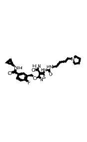 NC(=O)c1c(OCc2cc(C(=O)NC3CC3)ccc2F)nsc1NC(=O)NCCCCN1CCCC1